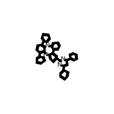 c1ccc(-c2cc(-c3ccccc3)nc(-c3ccc4c(c3)c3ccccc3n3c5ccccc5c5ccc6c7ccccc7n4c6c53)n2)cc1